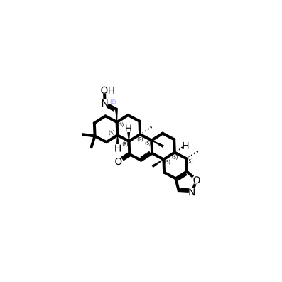 C[C@@H]1c2oncc2C[C@]2(C)C3=CC(=O)[C@@H]4[C@@H]5CC(C)(C)CC[C@]5(/C=N/O)CC[C@@]4(C)[C@]3(C)CC[C@@H]12